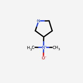 C[N+](C)([O-])C1CC[N]C1